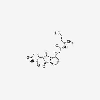 CC(CCO)NC(=O)COc1cccc2c1C(=O)N(C1CCC(=O)NC1=O)C2=O